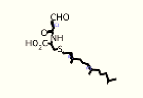 CC(C)=CCC/C(C)=C/CC/C(C)=C/CSCC(NC(=O)/C=C/C=O)C(=O)O